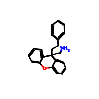 NCC1(CCc2ccccc2)c2ccccc2Oc2ccccc21